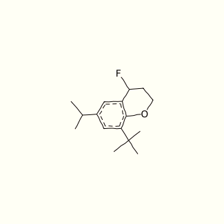 CC(C)c1cc2c(c(C(C)(C)C)c1)OCCC2F